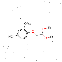 CCOC(COc1ccc(C#N)cc1OC)OCC